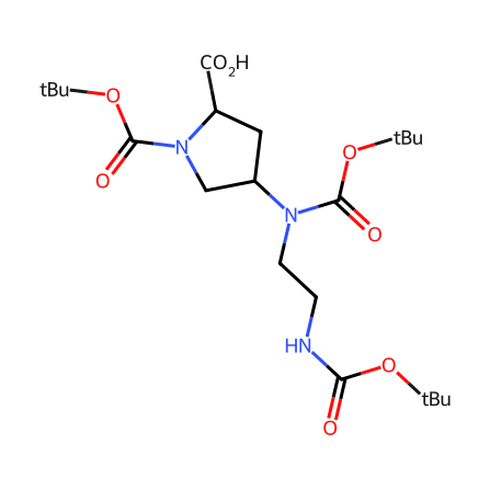 CC(C)(C)OC(=O)NCCN(C(=O)OC(C)(C)C)C1CC(C(=O)O)N(C(=O)OC(C)(C)C)C1